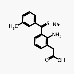 Cc1cccc(C(=S)c2cccc(CC(=O)O)c2N)c1.[Na]